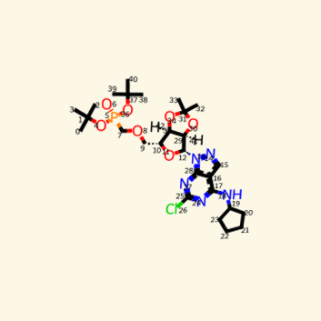 CC(C)(C)OP(=O)(COC[C@H]1O[C@@H](n2ncc3c(NC4CCCC4)nc(Cl)nc32)[C@@H]2OC(C)(C)O[C@@H]21)OC(C)(C)C